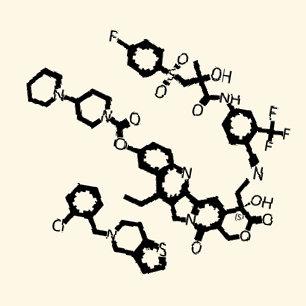 CC(O)(CS(=O)(=O)c1ccc(F)cc1)C(=O)Nc1ccc(C#N)c(C(F)(F)F)c1.CCc1c2c(nc3ccc(OC(=O)N4CCC(N5CCCCC5)CC4)cc13)-c1cc3c(c(=O)n1C2)COC(=O)[C@]3(O)CC.Clc1ccccc1CN1CCc2sccc2C1